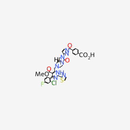 COC(=O)C1=C(CN2CCN3C(=O)N(c4ccn(C(=O)c5ccc(C(=O)O)cc5)n4)C[C@@H]3C2)NC(c2nccs2)=N[C@H]1c1ccc(F)cc1Cl